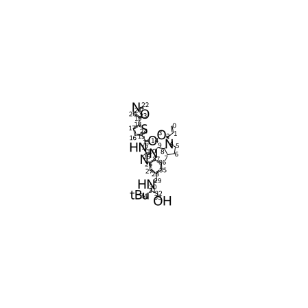 C=CC(=O)N1CCCC1Cn1c(NC(=O)c2ccc(-c3cnco3)s2)nc2cc(CNC(CO)C(C)(C)C)ccc21